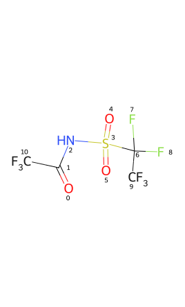 O=C(NS(=O)(=O)C(F)(F)C(F)(F)F)C(F)(F)F